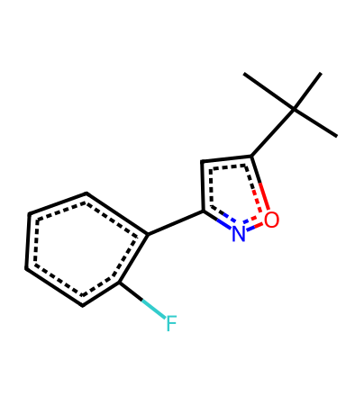 CC(C)(C)c1cc(-c2ccccc2F)no1